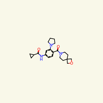 O=C(Nc1ccc(C(=O)N2CCC3(CC2)COC3)c(N2CCCC2)c1)C1CC1